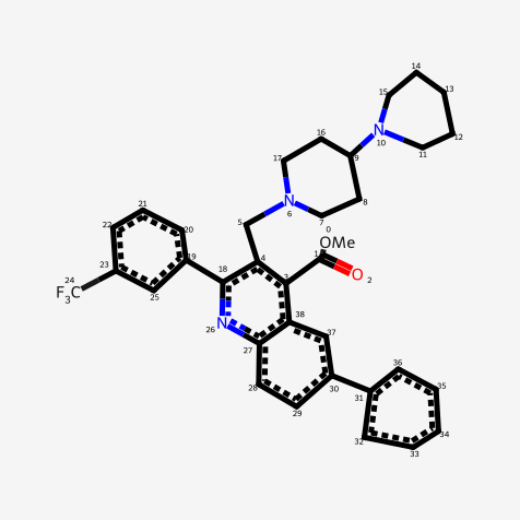 COC(=O)c1c(CN2CCC(N3CCCCC3)CC2)c(-c2cccc(C(F)(F)F)c2)nc2ccc(-c3ccccc3)cc12